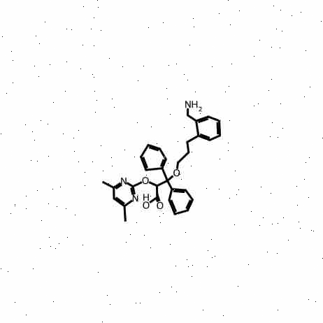 Cc1cc(C)nc(OC(C(=O)O)C(OCCCc2ccccc2CN)(c2ccccc2)c2ccccc2)n1